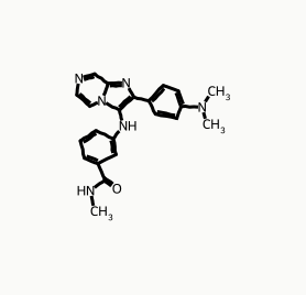 CNC(=O)c1cccc(Nc2c(-c3ccc(N(C)C)cc3)nc3cnccn23)c1